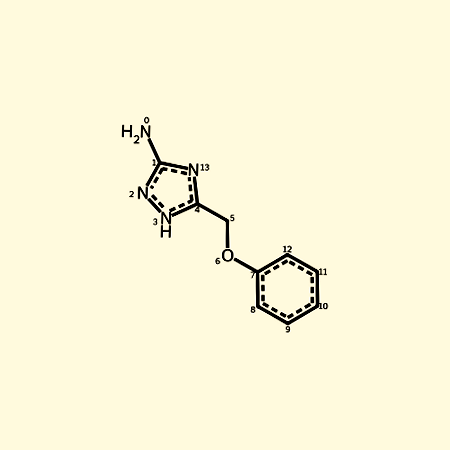 Nc1n[nH]c(COc2ccccc2)n1